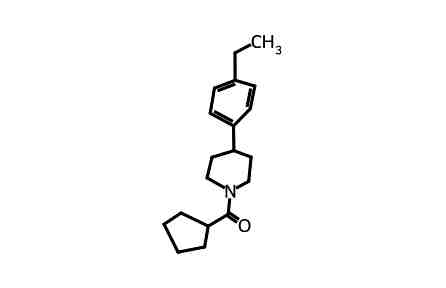 CCc1ccc(C2CCN(C(=O)C3CCCC3)CC2)cc1